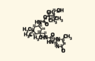 Cc1cc(=O)nc(NC(=O)NCC2(C)CC(NC(=O)OC(C)(C)C(C)CO)CC(C)(C)C2)[nH]1